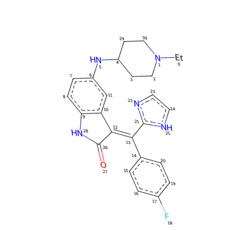 CCN1CCC(Nc2ccc3c(c2)C(=C(c2ccc(F)cc2)c2ncc[nH]2)C(=O)N3)CC1